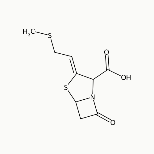 CSCC=C1SC2CC(=O)N2C1C(=O)O